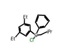 CCc1cc(CC)cc([Si](Cl)(CC(C)C)c2ccccc2)c1